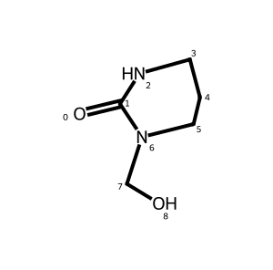 O=C1NCCCN1CO